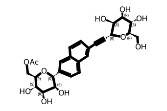 CC(=O)OC[C@H]1O[C@H](c2ccc3cc(C#C[C@H]4O[C@H](CO)[C@@H](O)[C@H](O)[C@@H]4O)ccc3c2)[C@@H](O)[C@@H](O)[C@@H]1O